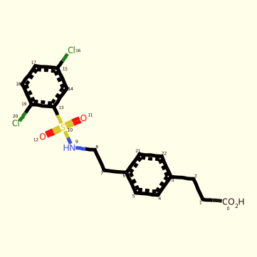 O=C(O)CCc1ccc(CCNS(=O)(=O)c2cc(Cl)ccc2Cl)cc1